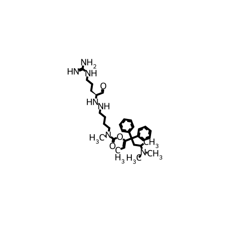 C/C=C(\OC(=O)N(C)CCCCNN[C@H](C=O)CCCNC(=N)N)C(CC(C)N(C)C)(c1ccccc1)c1ccccc1